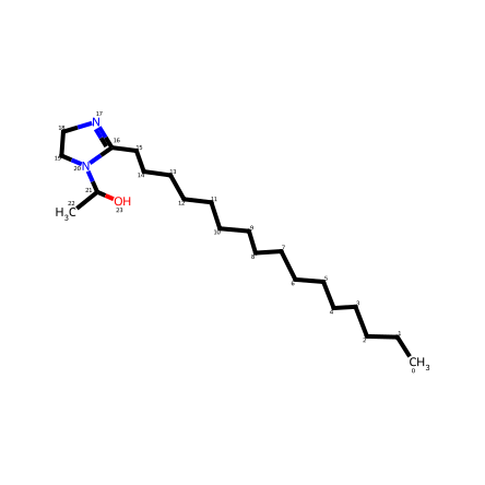 CCCCCCCCCCCCCCCCC1=NCCN1C(C)O